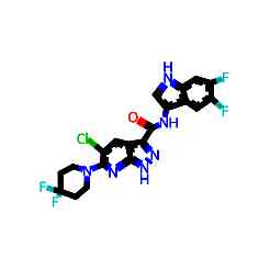 O=C(Nc1c[nH]c2cc(F)c(F)cc12)c1n[nH]c2nc(N3CCC(F)(F)CC3)c(Cl)cc12